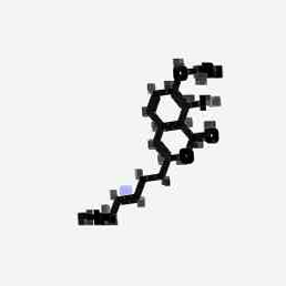 CCCCCC/C=C/CCc1cc2ccc(OCCCC)c(F)c2c(=O)o1